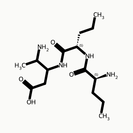 CCC[C@H](NC(=O)[C@@H](N)CCC)C(=O)N[C](CC(=O)O)C(C)N